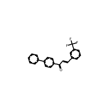 O=C(C=Cc1cccc(C(F)(F)F)c1)c1ccc(-c2ccccc2)cc1